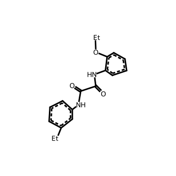 CCOc1ccccc1NC(=O)C(=O)Nc1cccc(CC)c1